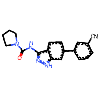 N#Cc1cccc(-c2ccc3c(NC(=O)N4CCCC4)n[nH]c3c2)c1